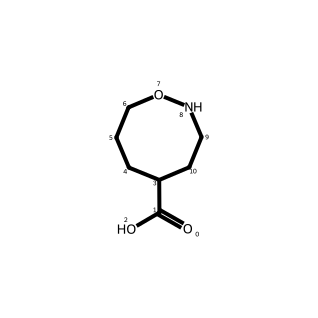 O=C(O)C1CCCONCC1